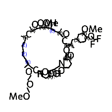 COCCOCCOC1C[C@@H]2CC[C@@H](C)[C@@](O)(O2)C(=O)C(=O)N2CCCC[C@H]2C(=O)O[C@H]([C@H](C)C[C@@H]2CC[C@@H](OC(F)F)[C@H](OC)C2)CC(=O)[C@H](C)/C=C(\C)[C@@H](O)[C@@H](OC)C(=O)[C@H](C)C[C@H](C)/C=C/C=C/C=C/1C